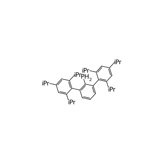 CC(C)c1cc(C(C)C)c(-c2cccc(-c3c(C(C)C)cc(C(C)C)cc3C(C)C)c2P)c(C(C)C)c1